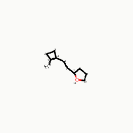 CCC1CCC1CCC1CCCO1